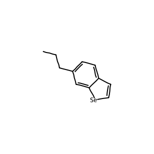 CCCc1ccc2cc[se]c2c1